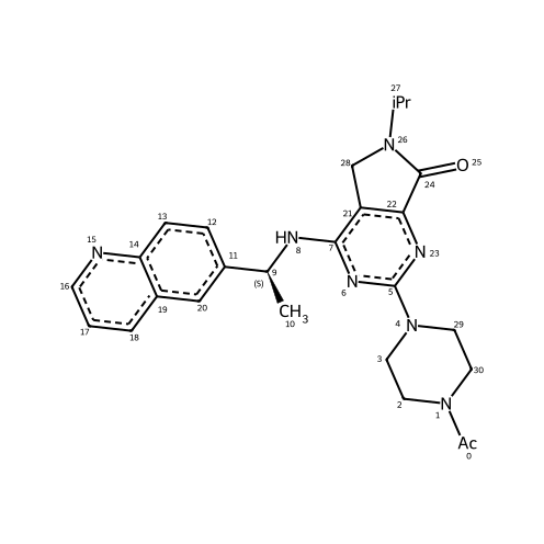 CC(=O)N1CCN(c2nc(N[C@@H](C)c3ccc4ncccc4c3)c3c(n2)C(=O)N(C(C)C)C3)CC1